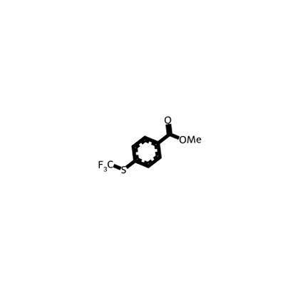 COC(=O)c1ccc(SC(F)(F)F)cc1